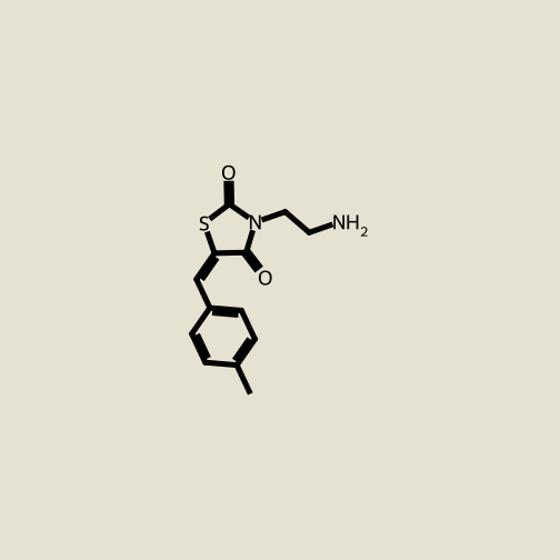 Cc1ccc(C=C2SC(=O)N(CCN)C2=O)cc1